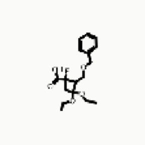 CCOC1(OCC)CC(F)(C(=O)O)C1COCc1ccccc1